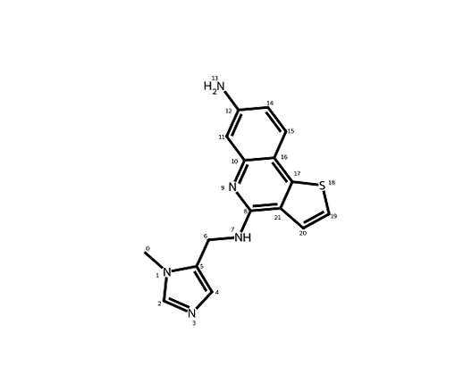 Cn1cncc1CNc1nc2cc(N)ccc2c2sccc12